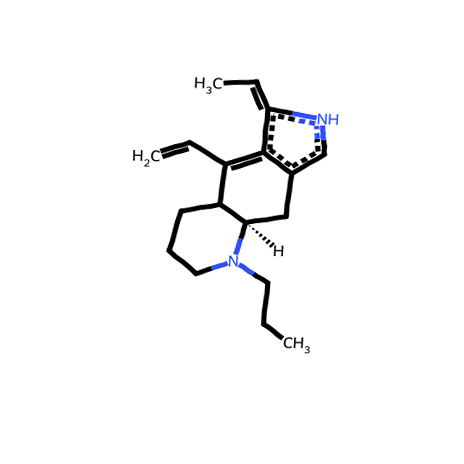 C=CC1=c2c(c[nH]/c2=C/C)C[C@@H]2C1CCCN2CCC